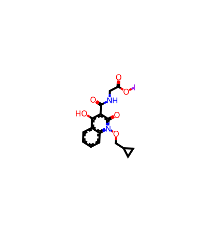 O=C(CNC(=O)c1c(O)c2ccccc2n(OCC2CC2)c1=O)OI